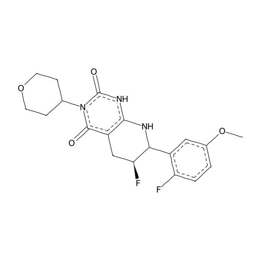 COc1ccc(F)c(C2Nc3[nH]c(=O)n(C4CCOCC4)c(=O)c3C[C@@H]2F)c1